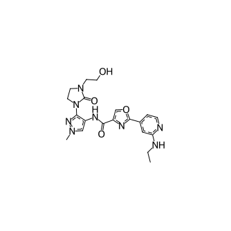 CCNc1cc(-c2nc(C(=O)Nc3cn(C)nc3N3CCN(CCO)C3=O)co2)ccn1